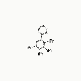 CC(C)c1[c]c(-c2[c]cccc2)c(C(C)C)c(C(C)C)c1C(C)C